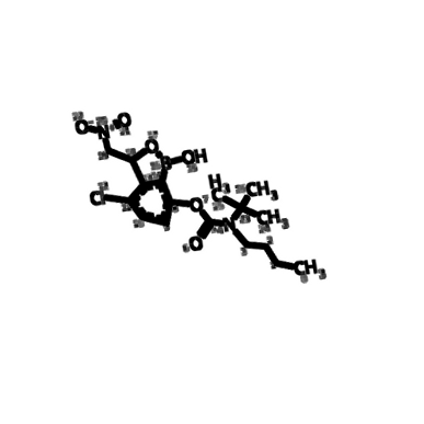 CCCCN(C(=O)Oc1ccc(Cl)c2c1B(O)OC2C[N+](=O)[O-])C(C)(C)C